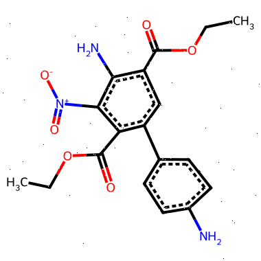 CCOC(=O)c1cc(-c2ccc(N)cc2)c(C(=O)OCC)c([N+](=O)[O-])c1N